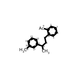 CC(=O)c1ccccc1CCC(C)c1cccc(C)c1